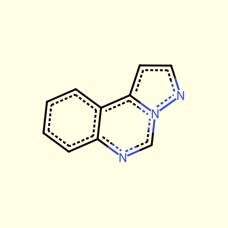 c1ccc2c(c1)ncn1nccc21